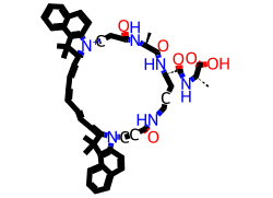 C[C@H](NC(=O)[C@@H]1CCCNC(=O)CCN2/C(=C/C=C/C=C/C=C/C3=[N+](CCC(=O)N[C@@H](C)C(=O)N1)c1ccc4ccccc4c1C3(C)C)C(C)(C)c1c2ccc2ccccc12)C(=O)O